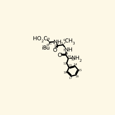 CC[C@H](C)[C@H](NC(=O)[C@H](C)NC(=O)[C@@H](N)Cc1ccccc1)C(=O)O